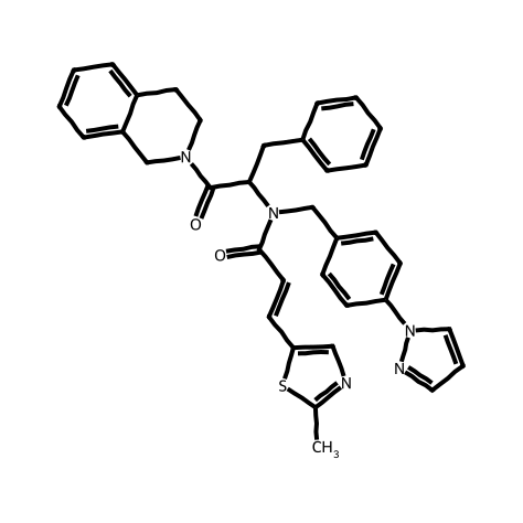 Cc1ncc(C=CC(=O)N(Cc2ccc(-n3cccn3)cc2)C(Cc2ccccc2)C(=O)N2CCc3ccccc3C2)s1